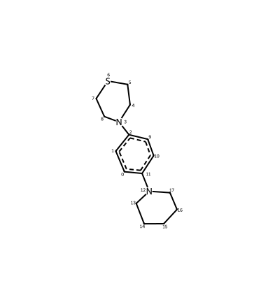 c1cc(N2CCSCC2)ccc1N1CCCCC1